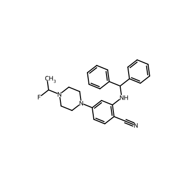 CC(F)N1CCN(c2ccc(C#N)c(NC(c3ccccc3)c3ccccc3)c2)CC1